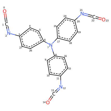 O=C=Nc1ccc(N(c2ccc(N=C=O)cc2)c2ccc(N=C=O)cc2)cc1